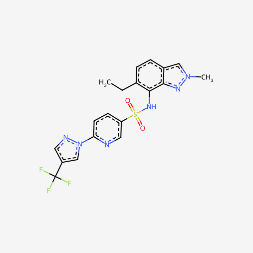 CCc1ccc2cn(C)nc2c1NS(=O)(=O)c1ccc(-n2cc(C(F)(F)F)cn2)nc1